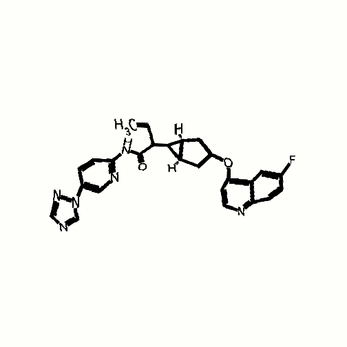 CCC(C(=O)Nc1ccc(-n2cncn2)cn1)C1[C@H]2CC(Oc3ccnc4ccc(F)cc34)C[C@@H]12